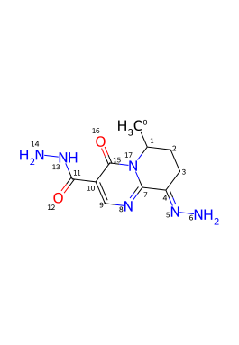 CC1CCC(=NN)c2ncc(C(=O)NN)c(=O)n21